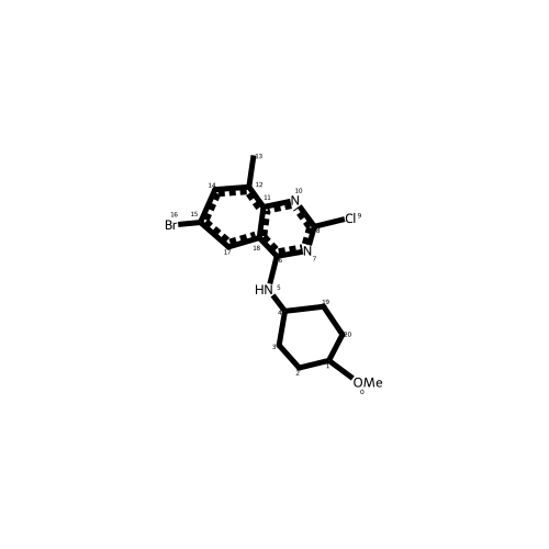 COC1CCC(Nc2nc(Cl)nc3c(C)cc(Br)cc23)CC1